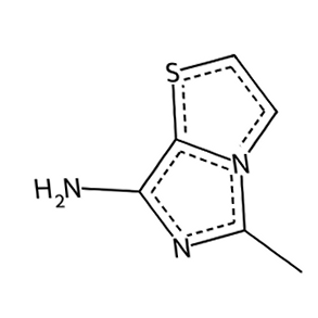 Cc1nc(N)c2sccn12